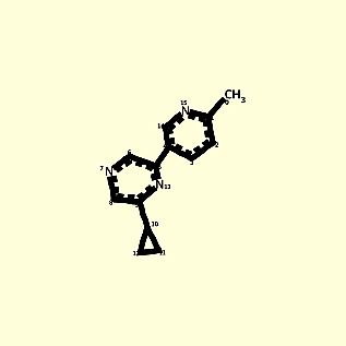 Cc1ccc(-c2cncc(C3CC3)n2)cn1